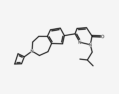 CC(C)Cn1nc(-c2ccc3c(c2)CCN(C2=CC=C2)CC3)ccc1=O